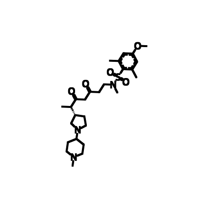 COc1cc(C)c(S(=O)(=O)N(C)CCC(=O)CC(=O)C(C)[C@@H]2CCN(C3CCN(C)CC3)C2)c(C)c1